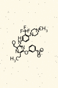 CCc1nc(C=O)c(Nc2ccc(N3CCN(C)CC3)c(C(F)(F)F)c2)nc1Oc1cccc([N+](=O)[O-])c1